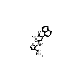 NC(=O)c1ccsc1NC(=O)CC(C(=O)O)c1cccc2ccccc12